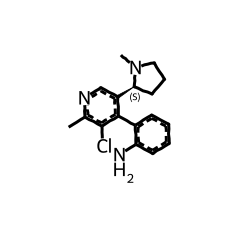 Cc1ncc([C@@H]2CCCN2C)c(-c2ccccc2N)c1Cl